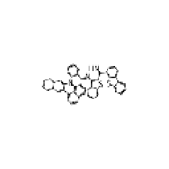 N=C(c1sc2ccccc2c1/N=C/c1ccccc1N1c2cc3ccccc3cc2-c2cccc3cccc1c23)c1cccc2c1sc1ccccc12